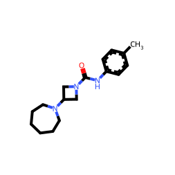 Cc1ccc(NC(=O)N2CC(N3CCCCCC3)C2)cc1